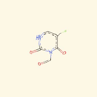 O=Cn1c(=O)[nH]cc(F)c1=O